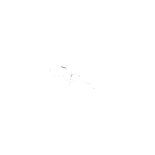 CCCCCC/C=C(/O)[C@H]1[C@@H]2C[C@H](OCCCC(=O)O)C[C@@H]2C[C@@H]1O